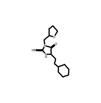 N=C1NC(CCC2CCCCC2)C(=O)N1CC1CCCO1